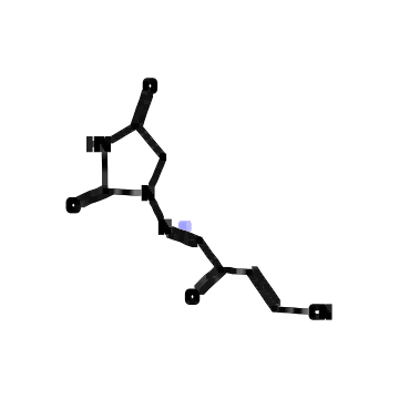 N#CC=CC(=O)/C=N/N1CC(=O)NC1=O